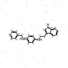 c1ccc2c(CCNc3ccc(NCc4ccncc4)cc3)c[nH]c2c1